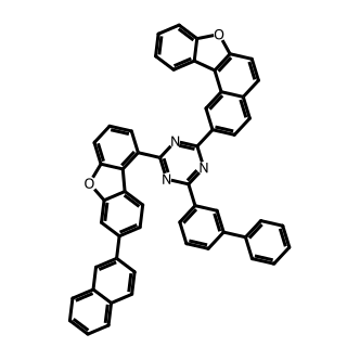 c1ccc(-c2cccc(-c3nc(-c4ccc5ccc6oc7ccccc7c6c5c4)nc(-c4cccc5oc6cc(-c7ccc8ccccc8c7)ccc6c45)n3)c2)cc1